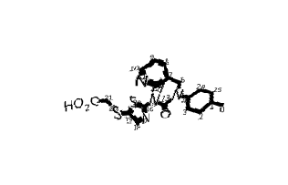 CC1CCC(N(Cc2cccnc2)C(=O)Nc2ncc(SCC(=O)O)s2)CC1